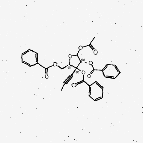 CC#C[C@@]1(OC(=O)c2ccccc2)[C@@H](COC(=O)c2ccccc2)OC(OC(C)=O)[C@@H]1OC(=O)c1ccccc1